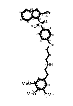 COc1cc(CCNCCCOc2ccc(S(=O)(=O)c3c(C(C)C)cn4ccccc34)cc2)cc(OC)c1OC